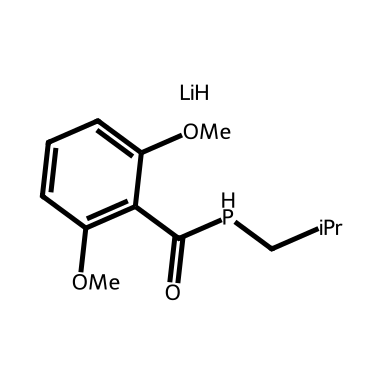 COc1cccc(OC)c1C(=O)PCC(C)C.[LiH]